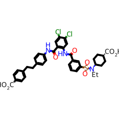 CCN([C@H]1CC[C@H](C(=O)O)CC1)S(=O)(=O)c1cccc(C(=O)Nc2cc(Cl)c(Cl)cc2C(=O)Nc2ccc(CCc3ccc(C(=O)O)cc3)cc2)c1